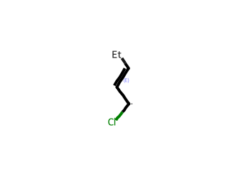 CC/C=C/[CH]Cl